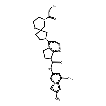 Cc1cn2cc(NC(=O)N3CCc4c(N5CCC6(CN(C(=O)OC(C)(C)C)CCO6)C5)ccnc43)cc(C)c2n1